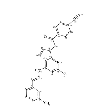 Cc1cccc(C=NNc2nc(Cl)nc3c2ncn3CC(=O)c2ccc(C#N)cc2)c1